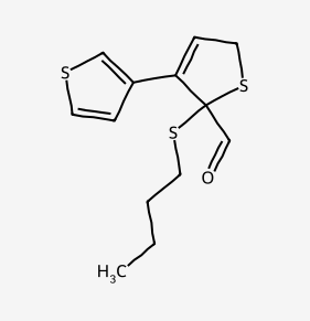 CCCCSC1(C=O)SCC=C1c1ccsc1